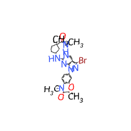 CNC(=O)[C@]1(C)CC[C@@H](Nc2ncc3c(Br)nn(-c4ccc5c(c4)OC(C)C(=O)N5C)c3n2)C1